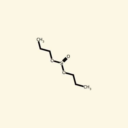 CCCO[Si](=O)OCCC